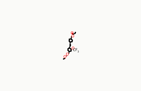 C=COCOCc1ccc(C#Cc2ccc(COC(=O)C=C)cc2)c(OC(F)(F)F)c1